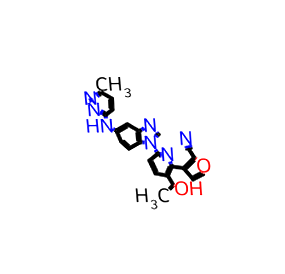 Cc1ccc(Nc2ccc3c(c2)ncn3-c2ccc(C(C)O)c(-c3ccoc3C#N)n2)nn1